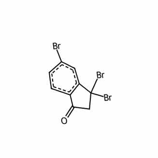 O=C1CC(Br)(Br)c2cc(Br)ccc21